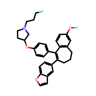 FCCCN1CCC(Oc2ccc(C3=C(c4ccc5occc5c4)CCCc4cc(OF)ccc43)cc2)C1